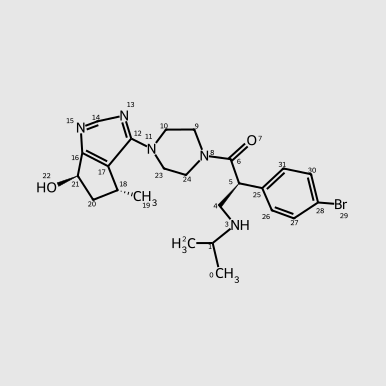 CC(C)NC[C@@H](C(=O)N1CCN(c2ncnc3c2[C@H](C)C[C@H]3O)CC1)c1ccc(Br)cc1